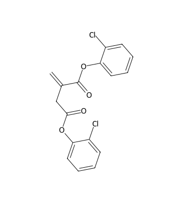 C=C(CC(=O)Oc1ccccc1Cl)C(=O)Oc1ccccc1Cl